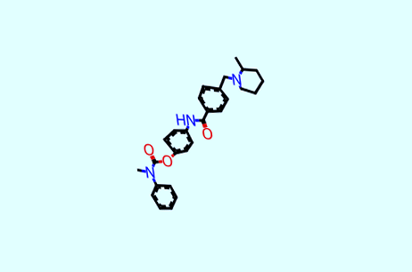 CC1CCCCN1Cc1ccc(C(=O)Nc2ccc(OC(=O)N(C)c3ccccc3)cc2)cc1